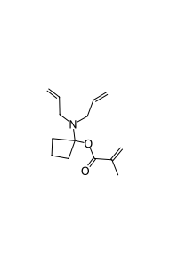 C=CCN(CC=C)C1(OC(=O)C(=C)C)CCC1